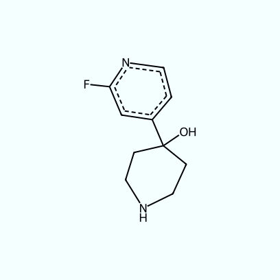 OC1(c2ccnc(F)c2)CCNCC1